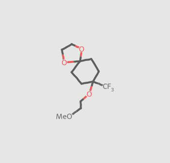 COCCOC1(C(F)(F)F)CCC2(CC1)OCCO2